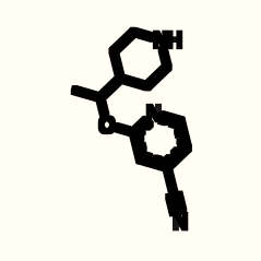 CC(Oc1cc(C#N)ccn1)C1CCNCC1